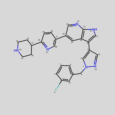 Fc1cccc(Cn2cc(-c3c[nH]c4ncc(-c5ccc(C6CCNCC6)nc5)cc34)cn2)c1